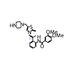 C=C1SC(CN2CCNCC2)=CN1/C=C(\C)c1ccccc1NC(=O)c1ccc(OC)c(OC)c1